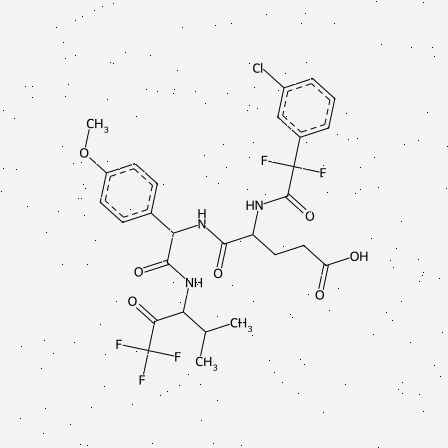 COc1ccc(C(NC(=O)C(CCC(=O)O)NC(=O)C(F)(F)c2cccc(Cl)c2)C(=O)NC(C(=O)C(F)(F)F)C(C)C)cc1